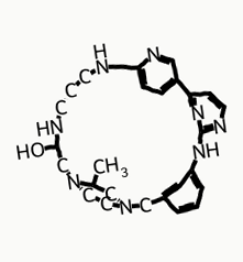 CC1CN2CCN1CC(O)NCCCNc1ccc(cn1)-c1ccnc(n1)Nc1cccc(c1)C2